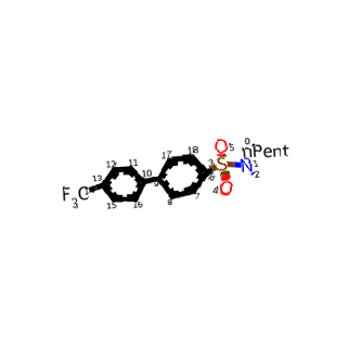 CCCCCN(C)S(=O)(=O)c1ccc(-c2ccc(C(F)(F)F)cc2)cc1